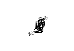 C[C@H]1CN(C(=O)OC(C)(C)C)CCN1c1ncnc2c1c(N1CCOCC1)cn2-c1cc(C#N)ccn1